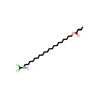 CC=CC(=O)OCCCCCCCCCCCCCCCCCCCC[SiH2]C(Cl)Cl